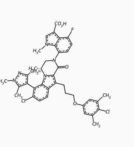 Cc1cc(OCCCc2c3n(c4c(-c5c(C)nn(C)c5C)c(Cl)ccc24)[C@H](C)CN(c2ccc(F)c4c(C(=O)O)cn(C)c24)C3=O)cc(C)c1Cl